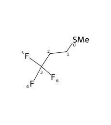 [CH2]SCCC(F)(F)F